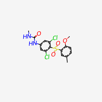 CNC(=O)Nc1cc(Cl)c(S(=O)(=O)c2cc(C)ccc2OC)c(Cl)c1